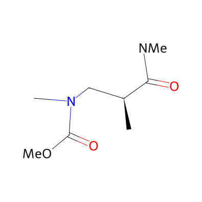 CNC(=O)[C@@H](C)CN(C)C(=O)OC